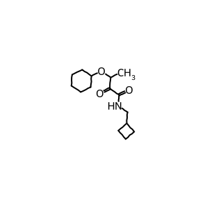 CC(OC1CCCCC1)C(=O)C(=O)NCC1CCC1